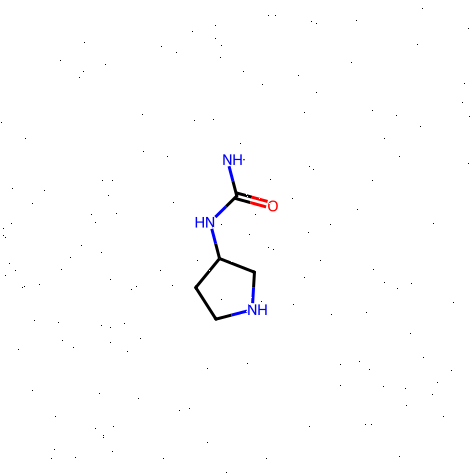 [NH]C(=O)NC1CCNC1